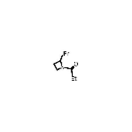 CCC(=O)N1CCC1C(C)C